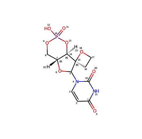 O=c1ccn(C2O[C@@H]3COP(=O)(O)O[C@H]3[C@]23CCO3)c(=O)[nH]1